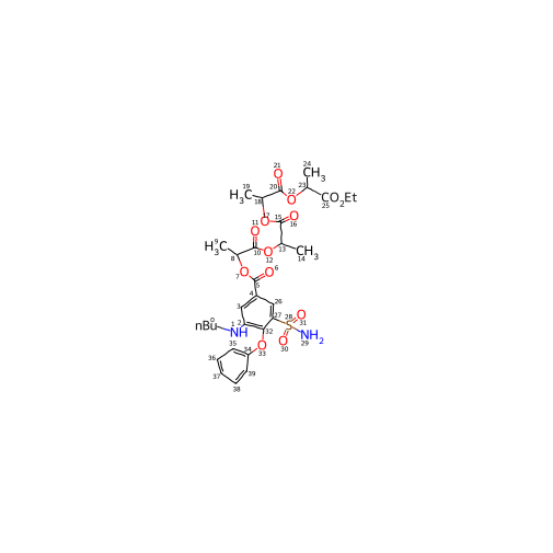 CCCCNc1cc(C(=O)OC(C)C(=O)OC(C)C(=O)OC(C)C(=O)OC(C)C(=O)OCC)cc(S(N)(=O)=O)c1Oc1ccccc1